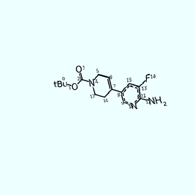 CC(C)(C)OC(=O)N1CC=C(c2cnc(N)c(F)c2)CC1